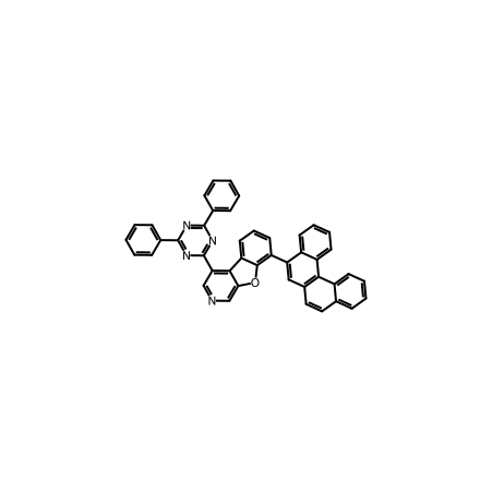 c1ccc(-c2nc(-c3ccccc3)nc(-c3cncc4oc5c(-c6cc7ccc8ccccc8c7c7ccccc67)cccc5c34)n2)cc1